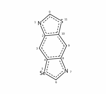 [c]1nc2cc3[se]cnc3cc2s1